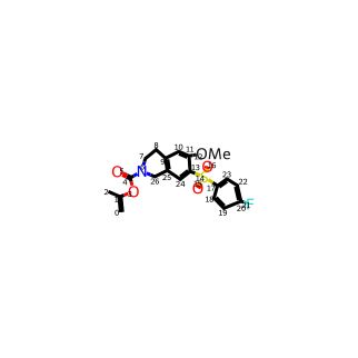 C=C(C)OC(=O)N1CCc2cc(OC)c(S(=O)(=O)c3ccc(F)cc3)cc2C1